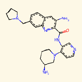 Nc1cc2ccc(CN3CCCC3)cc2nc1C(=O)Nc1cnccc1N1CCC[C@H](N)C1